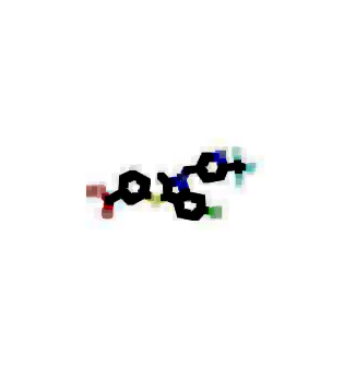 Cc1c(Sc2cccc(C(=O)O)c2)c2ccc(Cl)cc2n1Cc1ccc(C(F)(F)F)nc1